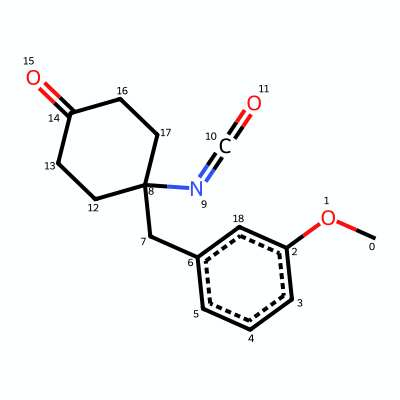 COc1cccc(CC2(N=C=O)CCC(=O)CC2)c1